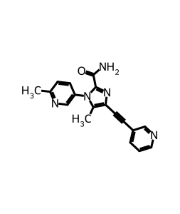 Cc1ccc(-n2c(C(N)=O)nc(C#Cc3cccnc3)c2C)cn1